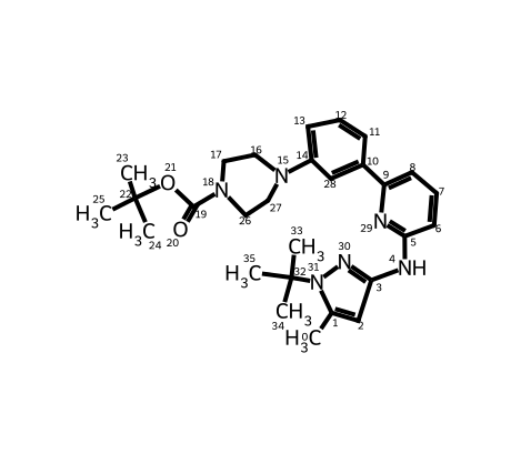 Cc1cc(Nc2cccc(-c3cccc(N4CCN(C(=O)OC(C)(C)C)CC4)c3)n2)nn1C(C)(C)C